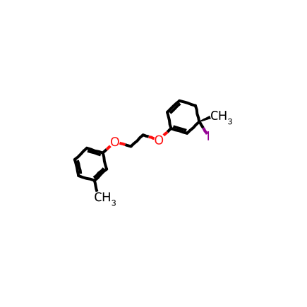 Cc1cccc(OCCOC2=C[C@@](C)(I)CC=C2)c1